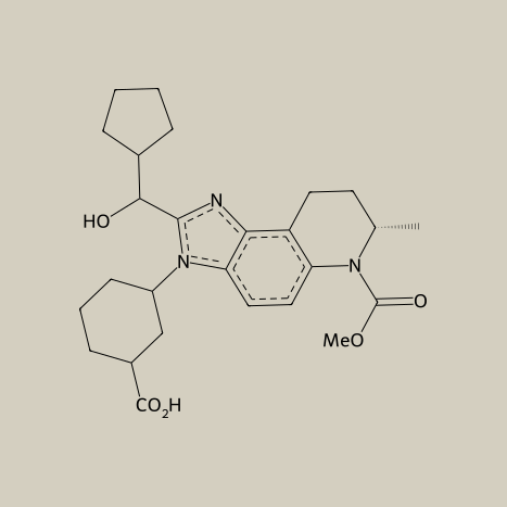 COC(=O)N1c2ccc3c(nc(C(O)C4CCCC4)n3C3CCCC(C(=O)O)C3)c2CC[C@@H]1C